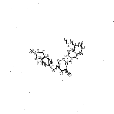 Nc1ncnc2cc(CN3CCN(Cc4nc5ccc(Br)cc5[nH]4)CC3=O)ccc12